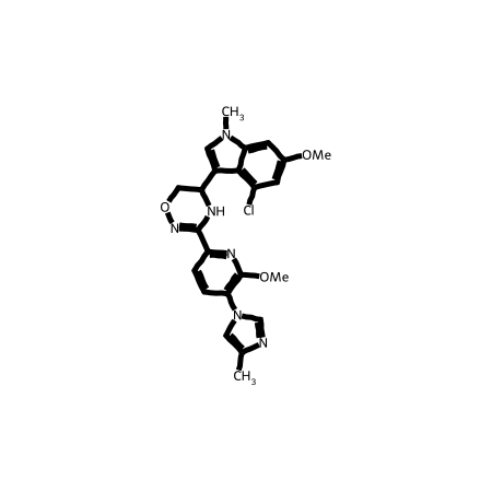 COc1cc(Cl)c2c(C3CON=C(c4ccc(-n5cnc(C)c5)c(OC)n4)N3)cn(C)c2c1